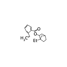 C=Cc1ccccc1C(=O)OC1CC2CCC1(CC)C2